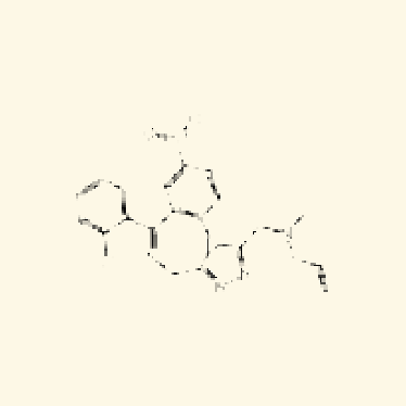 C=CCN(C)Cc1nnc2n1-c1ccc([N+](=O)[O-])cc1C(c1ccccc1Cl)=NC2